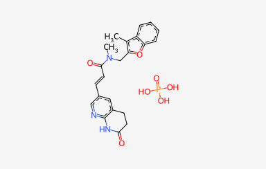 Cc1c(CN(C)C(=O)C=Cc2cnc3c(c2)CCC(=O)N3)oc2ccccc12.O=P(O)(O)O